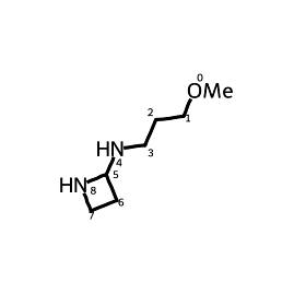 COCCCNC1CCN1